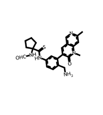 Cc1cc2c(cn1)cc(-c1cc(NC(=S)C3(NC=O)CCCC3)ccc1CN)c(=O)n2C